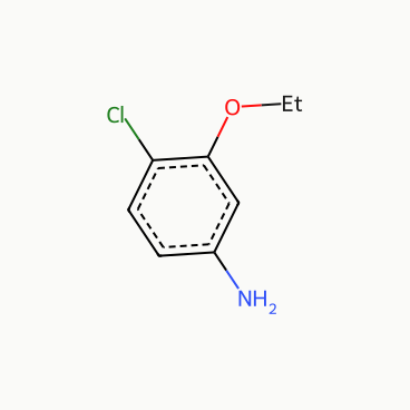 CCOc1cc(N)ccc1Cl